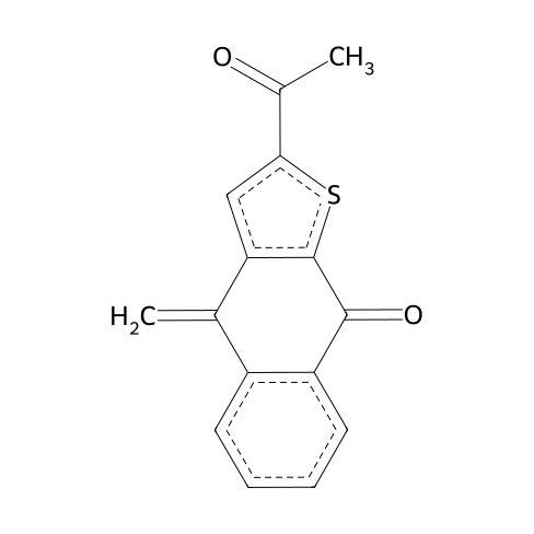 C=C1c2ccccc2C(=O)c2sc(C(C)=O)cc21